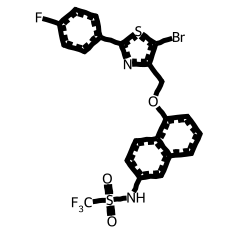 O=S(=O)(Nc1ccc2c(OCc3nc(-c4ccc(F)cc4)sc3Br)cccc2c1)C(F)(F)F